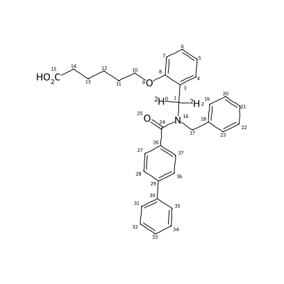 [2H]C([2H])(c1ccccc1OCCCCCC(=O)O)N(Cc1ccccc1)C(=O)c1ccc(-c2ccccc2)cc1